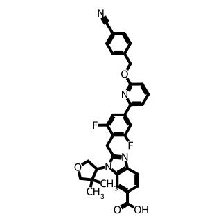 CC1(C)COCC1n1c(Cc2c(F)cc(-c3cccc(OCc4ccc(C#N)cc4)n3)cc2F)nc2ccc(C(=O)O)cc21